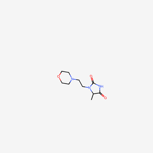 CC1C(=O)NC(=O)N1CCN1CCOCC1